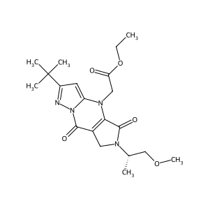 CCOC(=O)Cn1c2c(c(=O)n3nc(C(C)(C)C)cc13)CN([C@@H](C)COC)C2=O